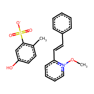 CO[n+]1ccccc1C=Cc1ccccc1.Cc1ccc(O)cc1S(=O)(=O)[O-]